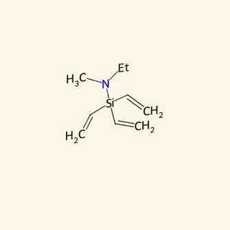 C=C[Si](C=C)(C=C)N(C)CC